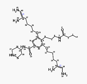 CCCC(=O)NCCCc1c(OCCCC/C(N)=C/N)cc(C(=O)NC2CCNCC2)cc1OCCCC/C(N)=C/N